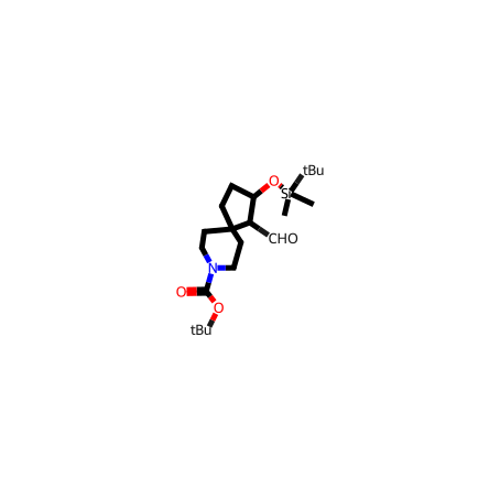 CC(C)(C)OC(=O)N1CCC2(CCC(O[Si](C)(C)C(C)(C)C)C2C=O)CC1